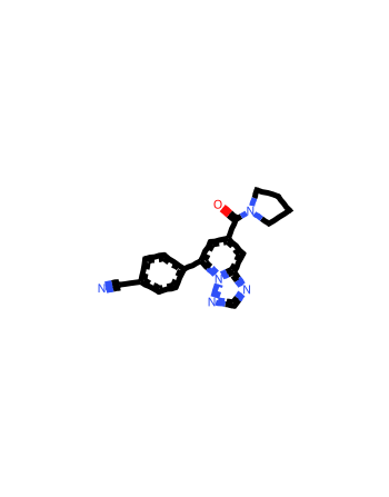 N#Cc1ccc(-c2cc(C(=O)N3CCCC3)cc3ncnn23)cc1